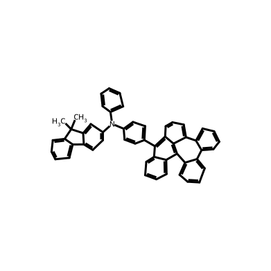 CC1(C)c2ccccc2-c2ccc(N(c3ccccc3)c3ccc(-c4c5ccccc5c5c6c(cccc46)-c4ccccc4-c4ccccc4-5)cc3)cc21